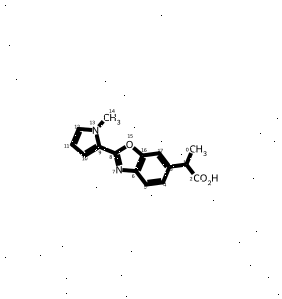 CC(C(=O)O)c1ccc2nc(-c3cccn3C)oc2c1